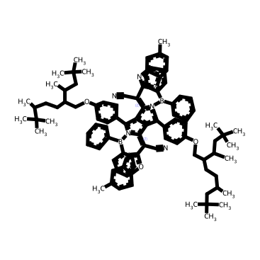 Cc1ccc2oc(/C(C#N)=c3/c4c(-c5ccc(OCC(CCC(C)C(C)(C)C)C(C)CC(C)(C)C)cc5)n(B(c5ccccc5)c5ccccc5)/c(=C(/C#N)c5nc6cc(C)ccc6o5)c4c(-c4ccc(OCC(CCC(C)CC(C)(C)C)C(C)CC(C)(C)C)cc4)n3B(c3ccccc3)c3ccccc3)nc2c1